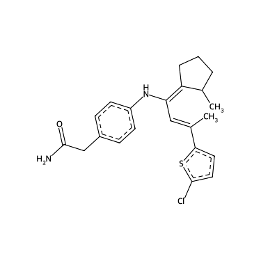 C/C(=C\C(Nc1ccc(CC(N)=O)cc1)=C1\CCCC1C)c1ccc(Cl)s1